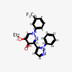 CCOc1cn(-c2cccc(C(F)(F)F)c2)nc(-c2ccnn2-c2ccccc2)c1=O